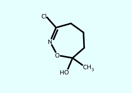 CC1(O)CCCC(Cl)=NO1